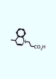 CC1C=CN(CCC(=O)O)c2ccccc21